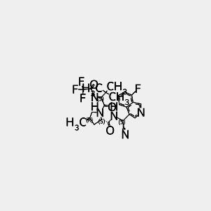 C[C@@H]1C[C@@H](C(=O)N[C@H](C#N)c2cncc3c(F)cccc23)N(C(=O)[C@@H](NC(=O)C(F)(F)F)C(C)(C)C)C1